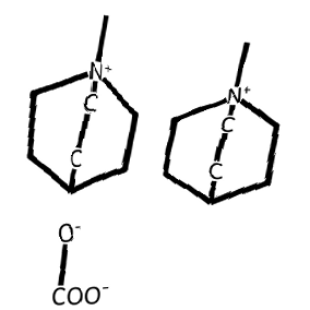 C[N+]12CCC(CC1)CC2.C[N+]12CCC(CC1)CC2.O=C([O-])[O-]